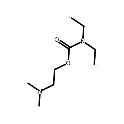 [CH2]CN(C[CH2])C(=O)OCCN(C)C